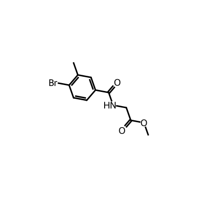 COC(=O)CNC(=O)c1ccc(Br)c(C)c1